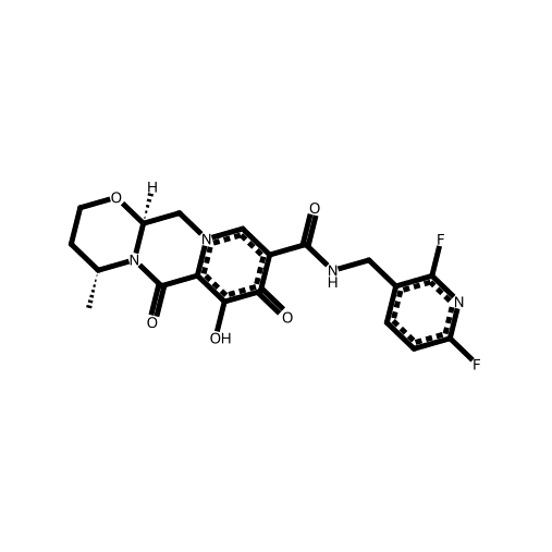 C[C@@H]1CCO[C@H]2Cn3cc(C(=O)NCc4ccc(F)nc4F)c(=O)c(O)c3C(=O)N12